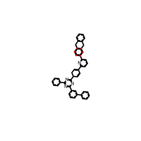 C1=CC(c2nc(-c3ccccc3)nc(-c3cccc(-c4ccccc4)c3)n2)CC=C1c1cccc(-c2ccc3c(c2)C2c4ccccc4C3c3ccccc32)n1